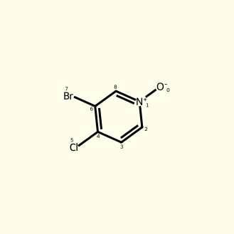 [O-][n+]1ccc(Cl)c(Br)c1